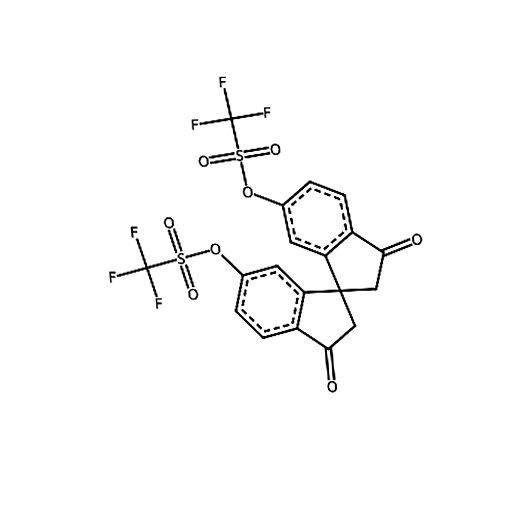 O=C1CC2(CC(=O)c3ccc(OS(=O)(=O)C(F)(F)F)cc32)c2cc(OS(=O)(=O)C(F)(F)F)ccc21